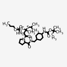 CCCOC(=O)N[C@@H](C(=O)N1CCCC1C(=O)NCC1CCC(NC(=O)OC(C)(C)C)CC1)C(C)(C)SC(C)C